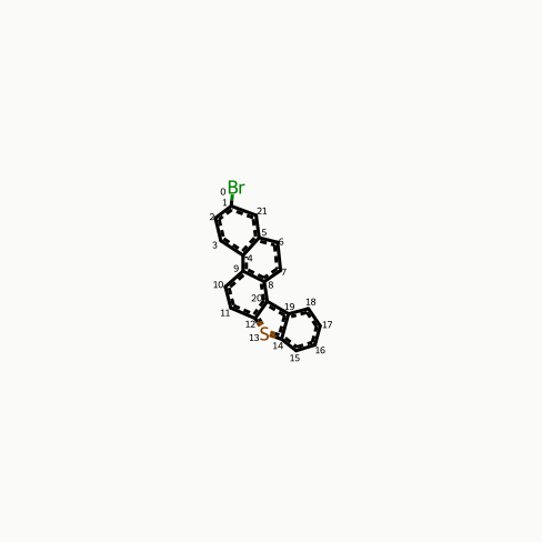 Brc1ccc2c(ccc3c2ccc2sc4ccccc4c23)c1